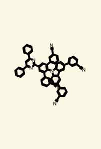 N#Cc1cccc(-c2ccc3c(c2)c2cc(-c4cccc(C#N)c4)ccc2n3-c2c(-c3cccc(C#N)c3)cc(-c3nc(-c4ccccc4)cc(-c4ccccc4)n3)cc2-c2cccc(C#N)c2)c1